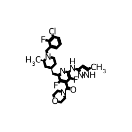 Cc1cc(Nc2nc(C[C@@H]3CCN(Cc4cccc(Cl)c4F)[C@H](C)C3)c(F)c(C(=O)N3CCOCC3)c2F)n[nH]1